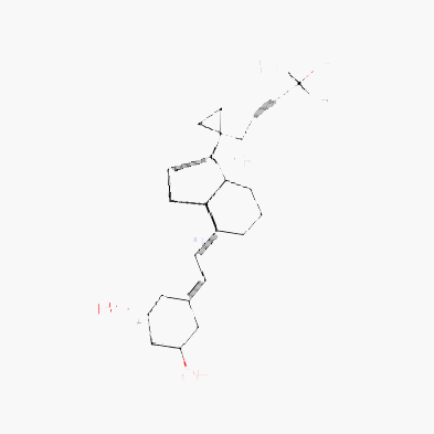 CC(O)(C#CCC1(C2=CCC3/C(=C/C=C4/CC(O)C[C@H](O)C4)CCC[C@]23C)CC1)C(F)(F)F